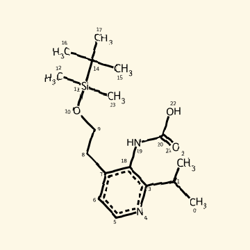 CC(C)c1nccc(CCO[Si](C)(C)C(C)(C)C)c1NC(=O)O